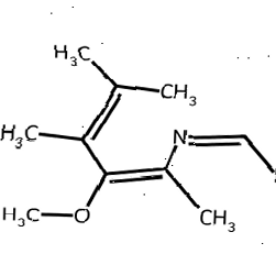 CO/C(C(C)=C(C)C)=C(C)/N=C\I